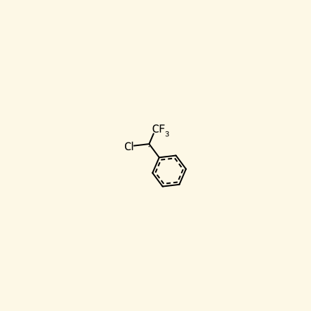 FC(F)(F)[C](Cl)c1ccccc1